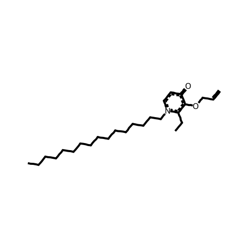 C=CCOc1c(CC)n(CCCCCCCCCCCCCCCC)ccc1=O